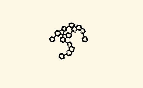 c1ccc(-c2ccc3c(c2)C(c2cccc(-c4ccc5ccc6ccc(-c7ccccc7)nc6c5n4)c2)(c2cccc(-c4ccc5ccc6ccc(-c7ccccc7)nc6c5n4)c2)c2cc(-c4ccccc4)ccc2-3)cc1